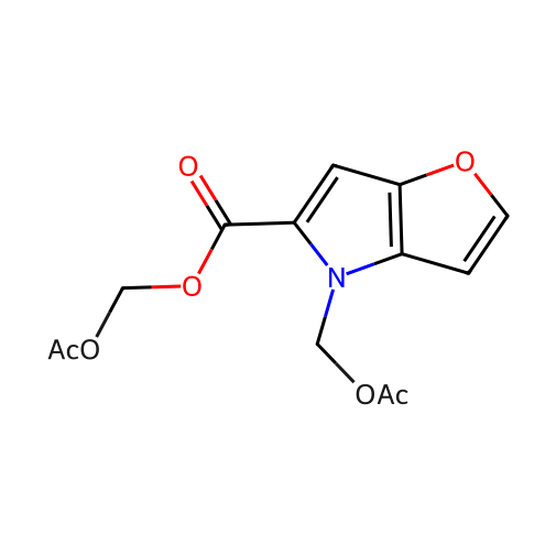 CC(=O)OCOC(=O)c1cc2occc2n1COC(C)=O